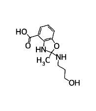 CC1(NCCCO)Nc2c(cccc2C(=O)O)O1